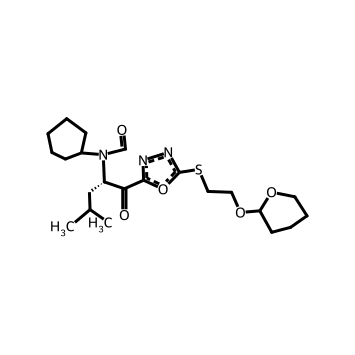 CC(C)C[C@@H](C(=O)c1nnc(SCCOC2CCCCO2)o1)N(C=O)C1CCCCC1